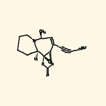 CCCCC#CC1=C[C@H](C)N2CCCC[C@@H]2[C@@]2(C)OC(=O)C=C12